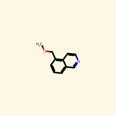 COCc1cccc2cnccc12